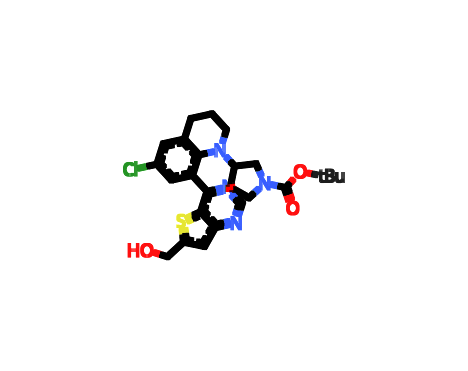 CC(C)(C)OC(=O)N1CCC(N2CCCc3cc(Cl)cc(-c4ncnc5cc(CO)sc45)c32)C1